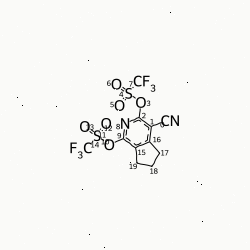 N#Cc1c(OS(=O)(=O)C(F)(F)F)nc(OS(=O)(=O)C(F)(F)F)c2c1CCC2